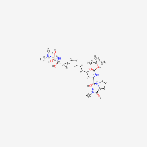 CNC(=O)[C@@H]1CCCN1C(=O)[C@H](CCCCC/C=C\[C@@H]1C[C@@H]1C(=O)NS(=O)(=O)N(C)C)NC(=O)OC(C)(C)C